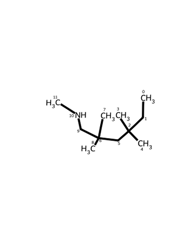 CCC(C)(C)CC(C)(C)CNC